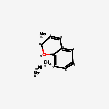 C.C1=Cc2ccccc2OC1.[Mo].[Nb].[Ni]